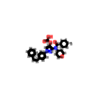 C[C@H]1CC[C@H](C(=O)N(c2nn(-c3ccc(/C=C\c4ccccc4)cc3)cc2OC(=O)O)C2CCOCC2)CC1